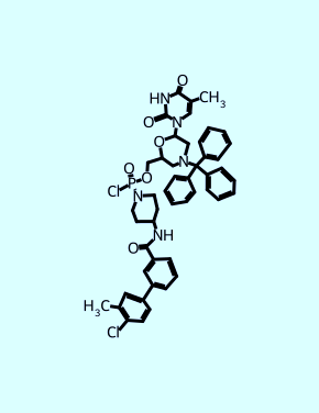 Cc1cc(-c2cccc(C(=O)NC3CCN(P(=O)(Cl)OCC4CN(C(c5ccccc5)(c5ccccc5)c5ccccc5)CC(n5cc(C)c(=O)[nH]c5=O)O4)CC3)c2)ccc1Cl